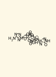 Nc1ncnc2c1ncn2[C@H]1C[C@H](OP(=O)(O)OC[C@@H]2CC[C@H](n3cnc4c(=O)[nH]ncc43)O2)[C@@H](COP(=O)(O)O)O1